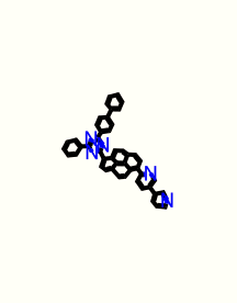 c1ccc(-c2ccc(-c3nc(-c4ccccc4)nc(-c4ccc5ccc6c(-c7ccc(-c8cccnc8)cn7)ccc7ccc4c5c76)n3)cc2)cc1